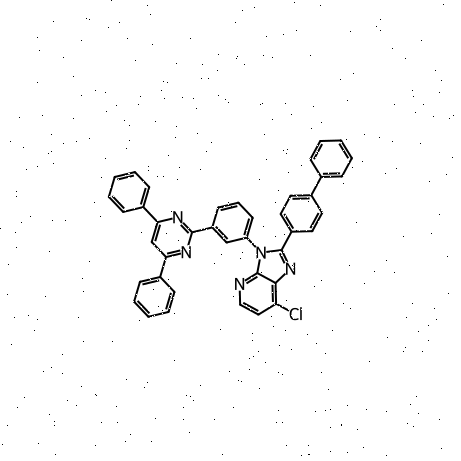 Clc1ccnc2c1nc(-c1ccc(-c3ccccc3)cc1)n2-c1cccc(-c2nc(-c3ccccc3)cc(-c3ccccc3)n2)c1